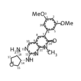 COc1cc(OC)cc(-c2cc3cnc(N[C@@H]4COC[C@@H]4N)nc3n(C)c2=O)c1